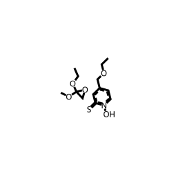 CCOC1(OC)CO1.CCOCc1ccn(O)c(=S)c1